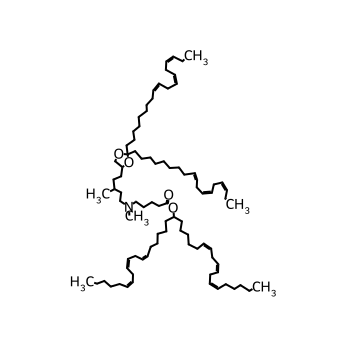 CC/C=C\C/C=C\C/C=C\CCCCCCCCC1(CCCCCCCC/C=C\C/C=C\C/C=C\CC)OCC(CCC(C)CCN(C)CCCCC(=O)OC(CCCCC/C=C\C/C=C\C/C=C\CCCCC)CCCCC/C=C\C/C=C\C/C=C\CCCCC)O1